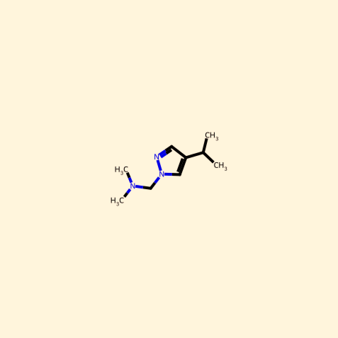 CC(C)c1cnn(CN(C)C)c1